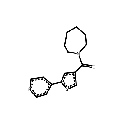 O=C(c1csc(-c2ccncc2)c1)N1CCCCCC1